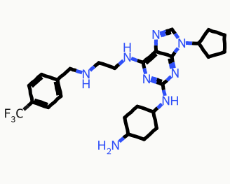 NC1CCC(Nc2nc(NCCNCc3ccc(C(F)(F)F)cc3)c3ncn(C4CCCC4)c3n2)CC1